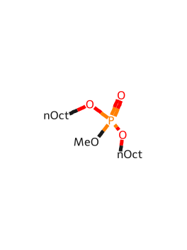 CCCCCCCCOP(=O)(OC)OCCCCCCCC